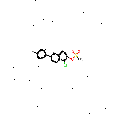 Cc1ccc(-c2ccc3c(Cl)c(OS(=O)(=O)C(F)(F)F)ccc3c2)cc1